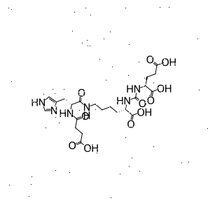 O=C(O)CCC(=O)N[C@H](Cc1c[nH]cn1)C(=O)NCCCC[C@H](NC(=O)N[C@@H](CCC(=O)O)C(=O)O)C(=O)O